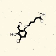 O=Cc1c(OCCCCC(=O)O)ccc(Cl)c1O